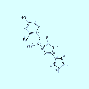 CCCn1c(-c2ccc(O)cc2C(F)(F)F)cc2sc(-c3nn[nH]n3)cc21